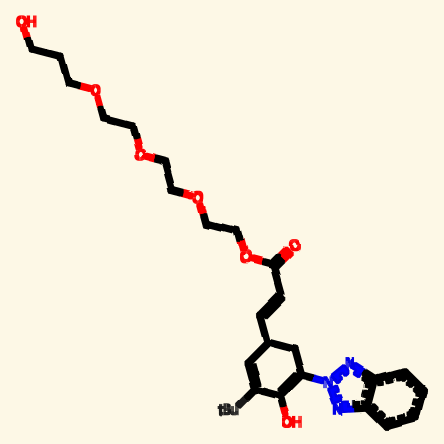 CC(C)(C)C1=CC(C=CC(=O)OCCOCCOCCOCCCO)CC(n2nc3ccccc3n2)=C1O